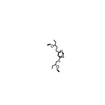 C=COC(CC)CSc1cc(SCC(CC)OC=C)ncn1